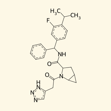 CC(C)c1ccc(C(NC(=O)C2CC3CC3N2C(=O)Cc2cnn[nH]2)c2ccccc2)cc1F